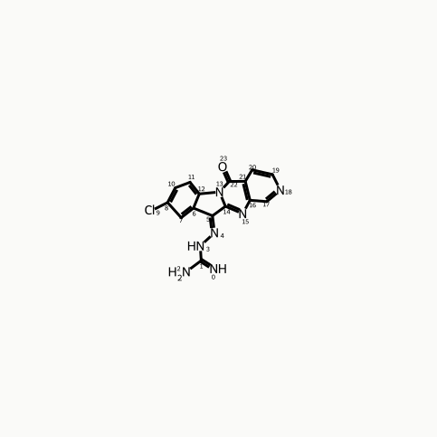 N=C(N)N/N=C1\c2cc(Cl)ccc2-n2c1nc1cnccc1c2=O